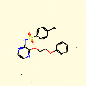 CC(C)c1ccc(S(=O)(=O)Nc2nccnc2OCCOc2ccccc2)cc1